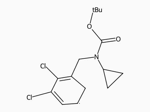 CC(C)(C)OC(=O)N(CC1=C(Cl)C(Cl)=C[CH]C1)C1CC1